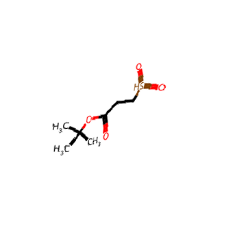 CC(C)(C)OC(=O)CC[SH](=O)=O